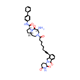 N[C@H]1CN(C(=O)CCCCCC#Cc2cccc3c2CN(C2CCC(=O)NC2=O)C3=O)CC[C@H]2CC[C@@H](C(=O)Nc3ccc(-c4ccccc4)cc3)N2C1=O